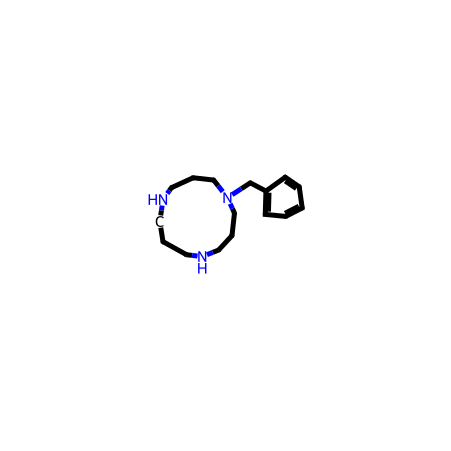 c1ccc(CN2CCCNCCCNCCC2)cc1